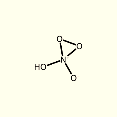 [O-][N+]1(O)OO1